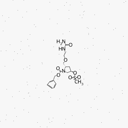 CS(=O)(=O)O[C@@H]1C[C@@H](COCCNC(N)=O)N(C(=O)OCc2ccccc2)C1